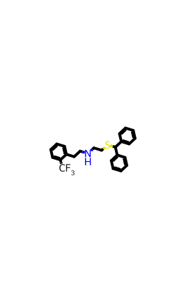 FC(F)(F)c1ccccc1CCNCCSC(c1ccccc1)c1ccccc1